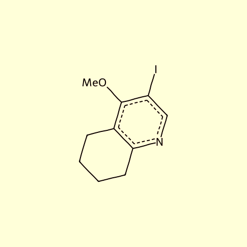 COc1c(I)cnc2c1CCCC2